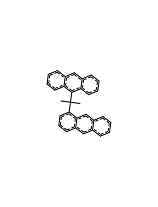 CC(C)(c1cccc2cc3ccccc3cc12)c1c2ccccc2cc2ccccc12